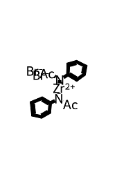 CC(=O)[N]([Zr+2][N](C(C)=O)c1ccccc1)c1ccccc1.[Br-].[Br-]